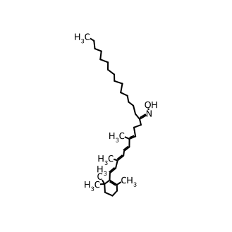 CCCCCCCCCCCCCCC/C(CC/C=C(C)/C=C/C=C(C)/C=C/C1=C(C)CCCC1(C)C)=N\O